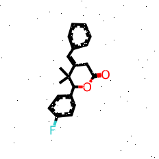 CC1(C)/C(=C/c2ccccc2)CC(=O)OC1c1ccc(F)cc1